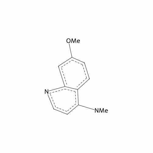 CNc1ccnc2cc(OC)ccc12